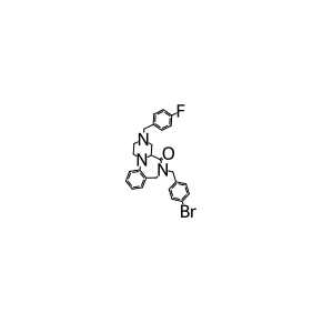 O=C1C2CN(Cc3ccc(F)cc3)CCN2c2ccccc2CN1Cc1ccc(Br)cc1